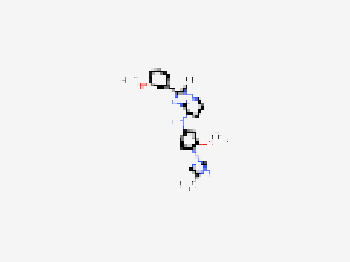 COc1cccc(-c2nc3c(Nc4ccc(-n5cnc(C)c5)c(OC)c4)cccn3c2C)c1